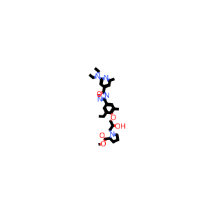 CCc1cc(-c2noc(-c3cc(C)nc(N(CC)CC)c3)n2)cc(C)c1OCC(O)CN1CCCC1C(=O)OC